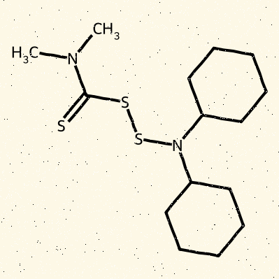 CN(C)C(=S)SSN(C1CCCCC1)C1CCCCC1